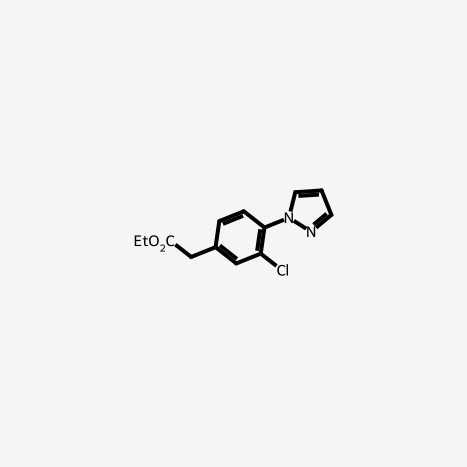 CCOC(=O)Cc1ccc(-n2cccn2)c(Cl)c1